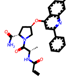 C=CC(=O)N[C@@H](C)C(=O)N1C[C@H](Oc2cc(-c3ccccc3)nc3cc(OC)ccc23)C[C@H]1C(N)=O